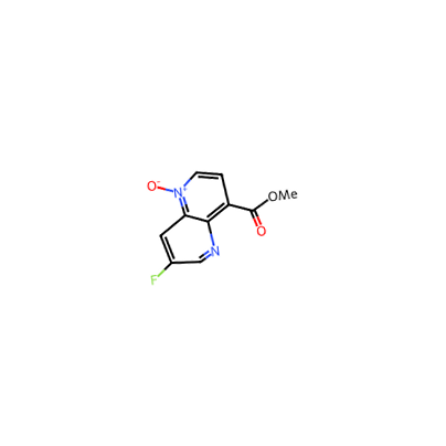 COC(=O)c1cc[n+]([O-])c2cc(F)cnc12